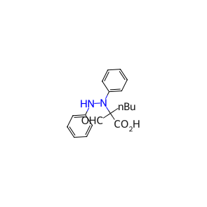 CCCCC(C=O)(C(=O)O)N(Nc1ccccc1)c1ccccc1